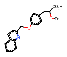 CCOC(Cc1ccc(OCc2ccc3ccccc3n2)cc1)C(=O)O